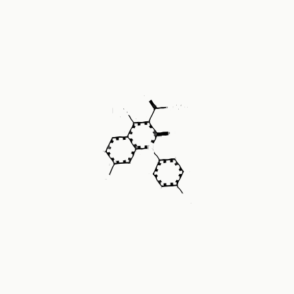 COC(=O)c1c(N)c2ccc(Br)cc2n(-c2ccc(F)cc2)c1=O